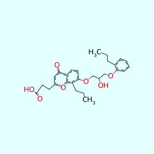 CCCc1ccccc1OCC(O)COc1ccc2c(=O)cc(CCC(=O)O)oc2c1CCC